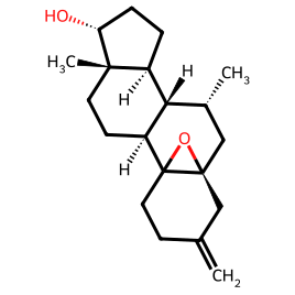 C=C1CCC23O[C@]2(C1)C[C@@H](C)[C@@H]1[C@@H]3CC[C@]2(C)[C@H](O)CC[C@@H]12